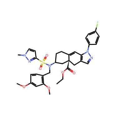 CCOC(=O)[C@]12Cc3cnn(-c4ccc(F)cc4)c3C=C1CC[C@H](N(Cc1ccc(OC)cc1OC)S(=O)(=O)c1ccn(C)n1)C2